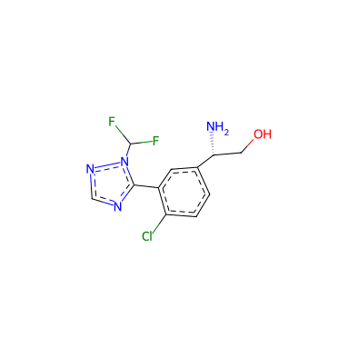 N[C@H](CO)c1ccc(Cl)c(-c2ncnn2C(F)F)c1